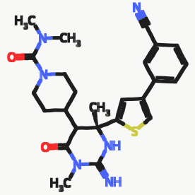 CN(C)C(=O)N1CCC(C2C(=O)N(C)C(=N)N[C@@]2(C)c2cc(-c3cccc(C#N)c3)cs2)CC1